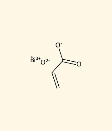 C=CC(=O)[O-].[Bi+3].[O-2]